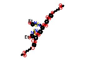 C=CC(=O)OCCCCCCOc1ccc(OC(=O)C2CCC(C(=O)Oc3ccc(-c4ccc(OC(=O)C5CCC(C(=O)Oc6ccc(OCCCCCCOC(=O)C=C)cc6)CC5)c(/C=N/Sc5nc6cc(OCC)ccc6s5)c4)cc3/C=N/Sc3nc4cc(OCC)ccc4s3)CC2)cc1